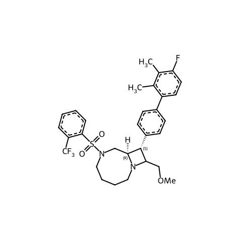 COCC1[C@@H](c2ccc(-c3ccc(F)c(C)c3C)cc2)[C@@H]2CN(S(=O)(=O)c3ccccc3C(F)(F)F)CCCCN12